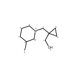 OCC1(CN2CCCC(F)C2)CC1